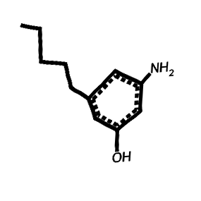 CCCCCc1cc(N)cc(O)c1